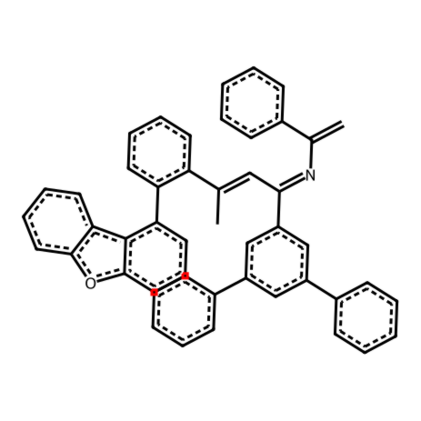 C=C(/N=C(\C=C(/C)c1ccccc1-c1cccc2oc3ccccc3c12)c1cc(-c2ccccc2)cc(-c2ccccc2)c1)c1ccccc1